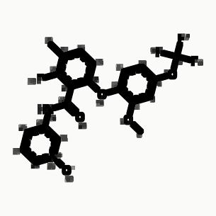 COc1cc(OC(F)(F)F)ccc1Oc1ccc(C)c(F)c1C(=O)Nc1ccc[n+]([O-])c1